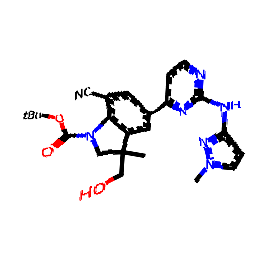 Cn1ccc(Nc2nccc(-c3cc(C#N)c4c(c3)C(C)(CO)CN4C(=O)OC(C)(C)C)n2)n1